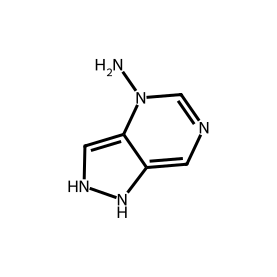 NN1C=NC=C2NNC=C21